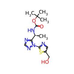 C[C@H](NC(=O)OC(C)(C)C)c1ncnn1-c1ncc(CO)s1